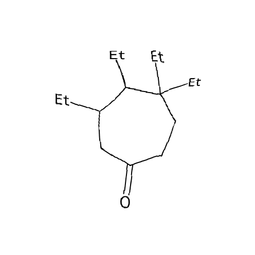 CCC1CC(=O)CCC(CC)(CC)C1CC